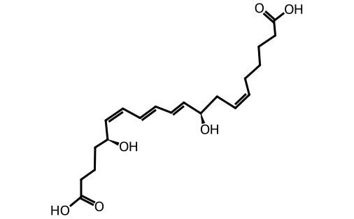 O=C(O)CCCC/C=C\C[C@@H](O)/C=C/C=C/C=C\[C@@H](O)CCCC(=O)O